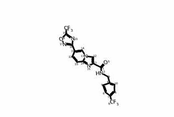 O=C(NCc1ccc(C(F)(F)F)cc1)c1cn2cc(-c3noc(C(F)(F)F)n3)ccc2n1